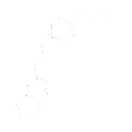 O=CCCC1CCN(CCCc2ccc3c(c2)OCCO3)CC1